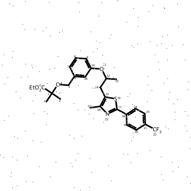 CCOC(=O)C(C)(C)OCc1cccc(OC(C)Cc2sc(-c3ccc(C(F)(F)F)cc3)nc2C)c1